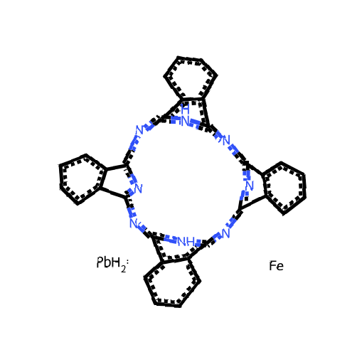 [Fe].[PbH2].c1ccc2c(c1)-c1nc-2nc2[nH]c(nc3nc(nc4[nH]c(n1)c1ccccc41)-c1ccccc1-3)c1ccccc21